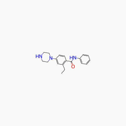 CCc1cc(N2CCNCC2)ccc1C(=O)Nc1ccccc1